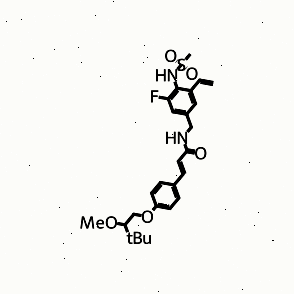 C=Cc1cc(CNC(=O)C=Cc2ccc(OCC(OC)C(C)(C)C)cc2)cc(F)c1NS(C)(=O)=O